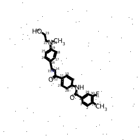 Cc1ccc(C(=O)NC2C=CC(C(=O)/C=C/c3ccc(N(C)CCO)cc3)=CC2)cc1F